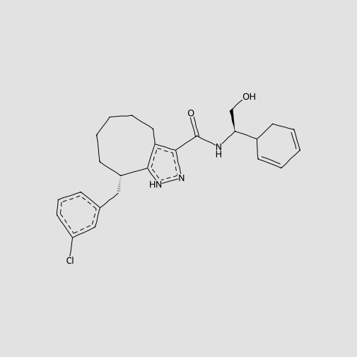 O=C(N[C@@H](CO)C1C=CC=CC1)c1n[nH]c2c1CCCCC[C@H]2Cc1cccc(Cl)c1